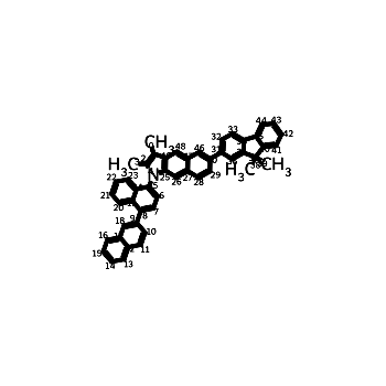 Cc1c(C)n(-c2ccc(-c3ccc4ccccc4c3)c3ccccc23)c2cc3ccc(-c4ccc5c(c4)C(C)(C)c4ccccc4-5)cc3cc12